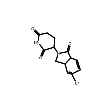 O=C1CCC(N2CC3C=C(Br)C=CC3C2=O)C(=O)N1